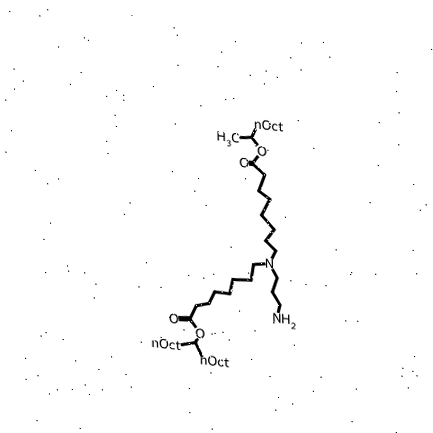 CCCCCCCCC(C)OC(=O)CCCCCCCN(CCCN)CCCCCCCC(=O)OC(CCCCCCCC)CCCCCCCC